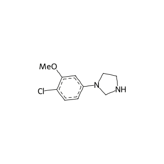 COc1cc(N2CCNC2)ccc1Cl